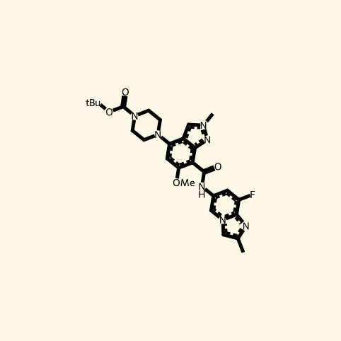 COc1cc(N2CCN(C(=O)OC(C)(C)C)CC2)c2cn(C)nc2c1C(=O)Nc1cc(F)c2nc(C)cn2c1